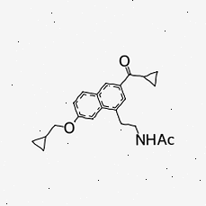 CC(=O)NCCc1cc(C(=O)C2CC2)cc2ccc(OCC3CC3)cc12